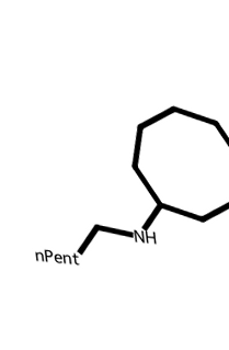 CCCCCCNC1CCCCCCC1